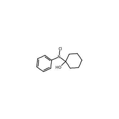 OC1(N(Cl)c2ccccc2)CCCCC1